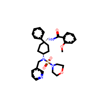 COc1ccccc1C(=O)NC[C@]1(c2ccccc2)CC[C@H](N(Cc2cccnc2)S(=O)(=O)N2CCOCC2)CC1